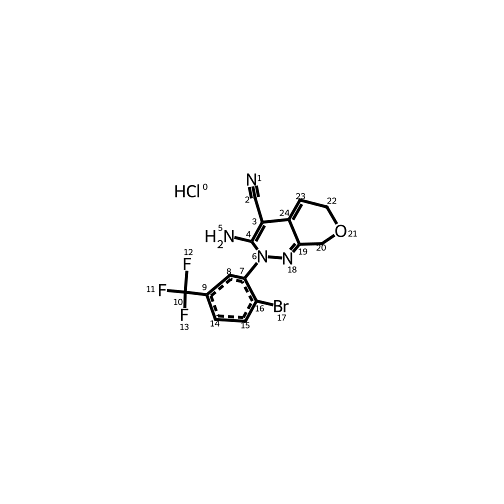 Cl.N#CC1=C(N)N(c2cc(C(F)(F)F)ccc2Br)N=C2COCC=C21